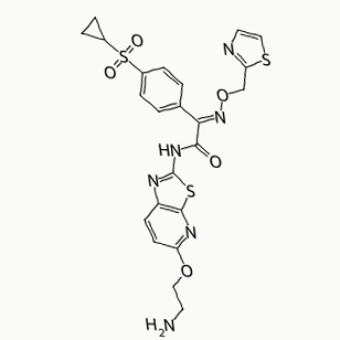 NCCOc1ccc2nc(NC(=O)/C(=N/OCc3nccs3)c3ccc(S(=O)(=O)C4CC4)cc3)sc2n1